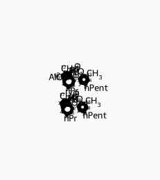 CCCCCc1ccc(OP(=O)([O-])Oc2c(C)cc3cc2CCC(CCC)C3)c(C)c1.CCCCCc1ccc(OP(=O)([O-])Oc2c(C)cc3cc2CCC(CCC)C3)c(C)c1.[OH][Al+2]